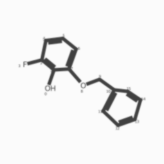 Oc1c(F)[c]ccc1OCc1ccccc1